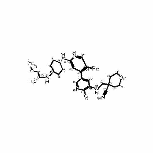 COC[C@@H](C)N[C@H]1CC[C@H](Nc2cc(-c3cnc(Cl)c(NCC4(C#N)CCOCC4)c3)c(F)cn2)CC1